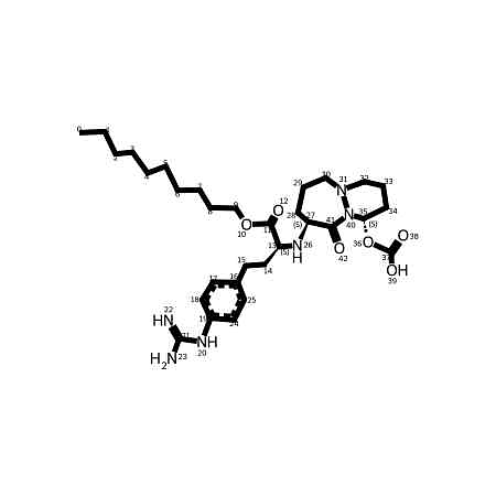 CCCCCCCCCCOC(=O)[C@H](CCc1ccc(NC(=N)N)cc1)N[C@H]1CCCN2CCC[C@H](OC(=O)O)N2C1=O